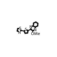 COc1nc2ccccc2nc1-c1ccc(-c2nccs2)s1